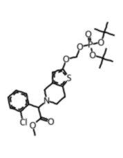 COC(=O)C(c1ccccc1Cl)N1CCc2sc(OCOP(=O)(OC(C)(C)C)OC(C)(C)C)cc2C1